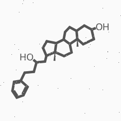 C[C@]12CCC(O)CC1CCC1C2CC[C@]2(C)C(CC(O)CCc3ccccc3)CCC12